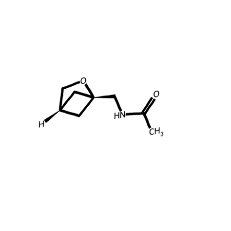 CC(=O)NC[C@]12C[C@H](CO1)C2